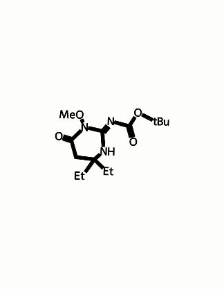 CCC1(CC)CC(=O)N(OC)/C(=N/C(=O)OC(C)(C)C)N1